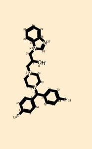 OC(CN1CCN(C(c2ccc(F)cc2)c2ccc(F)cc2)CC1)Cn1cnc2ccccc21